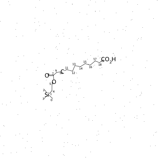 C[Si](C)(C)CCOC(=O)CCCCCCCCCCC(=O)O